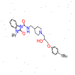 CC(C)n1c(=O)n(C(=O)NCC2CCN(CC(O)COc3ccc(C(C)(C)C)cc3)CC2)c2ccccc21